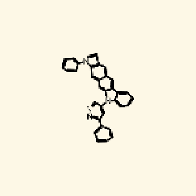 c1ccc(-c2cc(-n3c4ccccc4c4cc5cc6ccn(-c7ccccc7)c6cc5cc43)cnn2)cc1